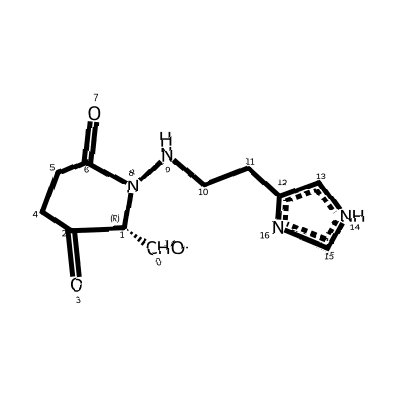 O=[C][C@@H]1C(=O)CCC(=O)N1NCCc1c[nH]cn1